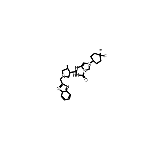 CC1CN(CC2=NC3C=CC=CC3=N2)CC1C1=NC2=CN(C3CCC(F)(F)CC3)CN2C(=O)N1